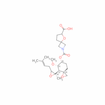 CO[C@@H]1[C@H](OC(=O)N2CC3(CCC(C(=O)O)O3)C2)CC[C@]2(CO2)[C@H]1[C@@]1(C)OC1CC=C(C)C